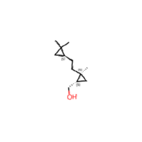 CC1(C)C[C@@H]1CC[C@@]1(C)C[C@@H]1CO